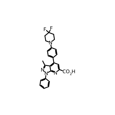 Cc1nn(-c2ccccc2)c2nc(C(=O)O)cc(-c3ccc(N4CCC(F)(F)CC4)cc3)c12